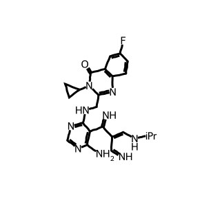 CC(C)N/C=C(\C=N)C(=N)c1c(N)ncnc1NCc1nc2ccc(F)cc2c(=O)n1C1CC1